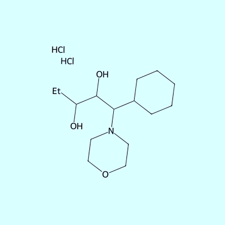 CCC(O)C(O)C(C1CCCCC1)N1CCOCC1.Cl.Cl